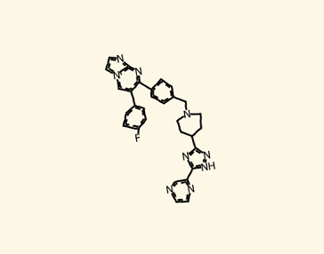 Fc1ccc(-c2cn3ccnc3nc2-c2ccc(CN3CCC(c4n[nH]c(-c5cnccn5)n4)CC3)cc2)cc1